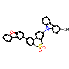 N#Cc1ccc2c(c1)c1ccccc1n2-c1ccc2c(c1)CS(=O)(=O)Cc1ccc(-c3ccc4oc5ccccc5c4c3)cc1-2